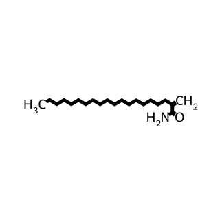 C=C(CCCCCCCCCCCCCCCCCC)C(N)=O